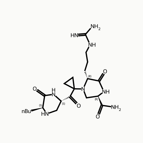 CCCC[C@@H]1NC[C@@H](C(=O)C2(N3C[C@H](C(N)=O)NC(=O)[C@H]3CCCNC(=N)N)CC2)NC1=O